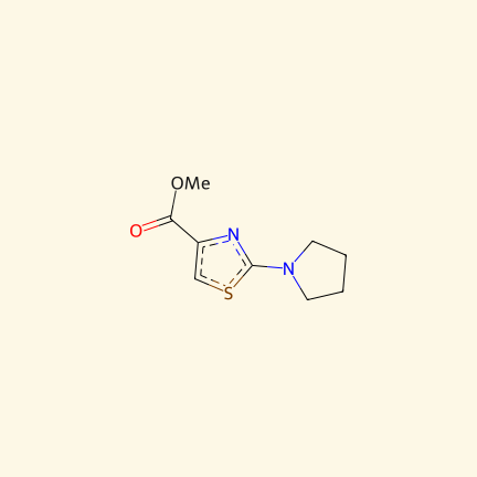 COC(=O)c1csc(N2CCCC2)n1